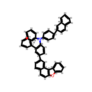 c1ccc(-c2cc(-c3ccc4ccc5oc6ccccc6c5c4c3)ccc2N(c2ccccc2)c2ccc(-c3ccc4ccccc4c3)cc2)cc1